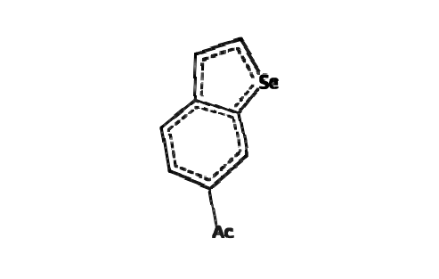 CC(=O)c1ccc2cc[se]c2c1